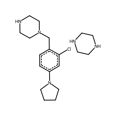 C1CNCCN1.Clc1cc(N2CCCC2)ccc1CN1CCNCC1